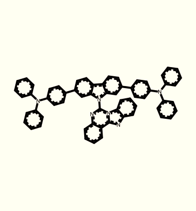 c1ccc(N(c2ccccc2)c2ccc(-c3ccc4c5ccc(-c6ccc(N(c7ccccc7)c7ccccc7)cc6)cc5n(-c5nc6ccccc6c6nc7ccccc7n56)c4c3)cc2)cc1